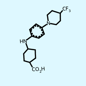 O=C(O)C1CCC(Nc2ccc(N3CCC(C(F)(F)F)CC3)cc2)CC1